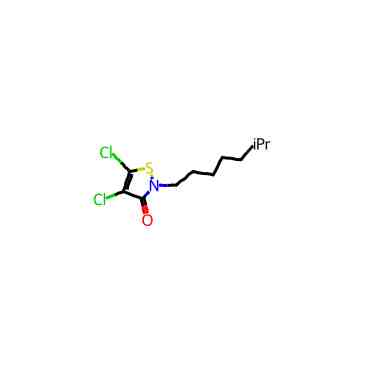 CC(C)CCCCCn1sc(Cl)c(Cl)c1=O